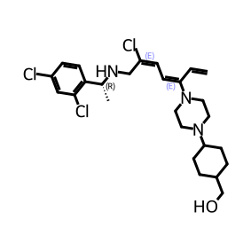 C=C/C(=C\C=C(\Cl)CN[C@H](C)c1ccc(Cl)cc1Cl)N1CCN(C2CCC(CO)CC2)CC1